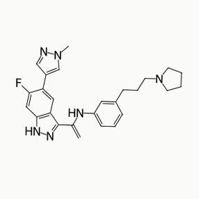 C=C(Nc1cccc(CCCN2CCCC2)c1)c1n[nH]c2cc(F)c(-c3cnn(C)c3)cc12